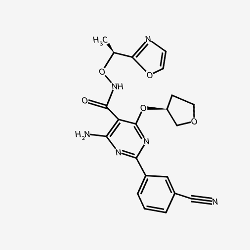 C[C@H](ONC(=O)c1c(N)nc(-c2cccc(C#N)c2)nc1O[C@H]1CCOC1)c1ncco1